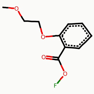 COCCOc1ccccc1C(=O)OF